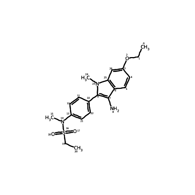 CCOc1ccc2c(N)c(-c3ccc(N(C)S(=O)(=O)CC)cc3)n(C)c2c1